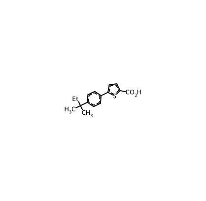 CCC(C)(C)c1ccc(-c2ccc(C(=O)O)s2)cc1